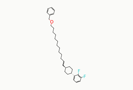 Fc1cccc([C@H]2CC[C@H](C=CCCCCCCCCCCCOCc3ccccc3)CC2)c1F